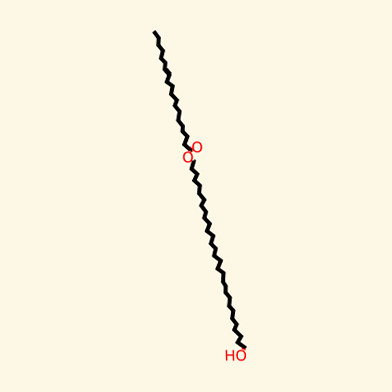 CCCCCCC=CCCCCCCCCCCCC(=O)OCCCCCCCCCCCCCCCCCCCCCCCCCCCCCCCO